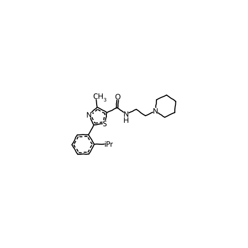 Cc1nc(-c2ccccc2C(C)C)sc1C(=O)NCCN1CCCCC1